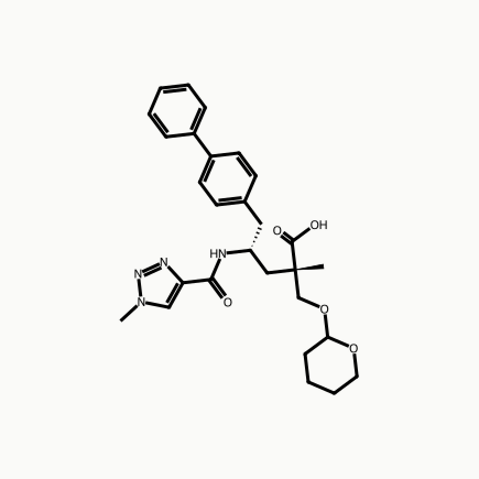 Cn1cc(C(=O)N[C@H](Cc2ccc(-c3ccccc3)cc2)C[C@@](C)(COC2CCCCO2)C(=O)O)nn1